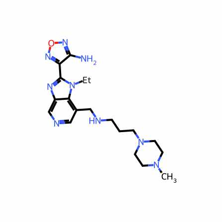 CCn1c(-c2nonc2N)nc2cncc(CNCCCN3CCN(C)CC3)c21